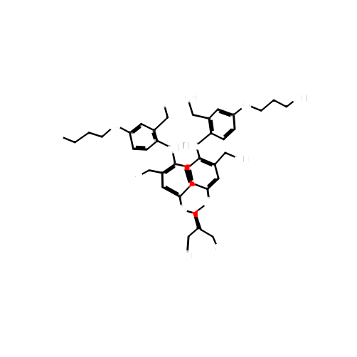 CCCCOc1ccc([SiH](O[SiH](c2ccc(OCCCC)cc2CC)c2ccc(OCCCC)cc2CC)c2ccc(OCCCC)cc2CC)c(CC)c1